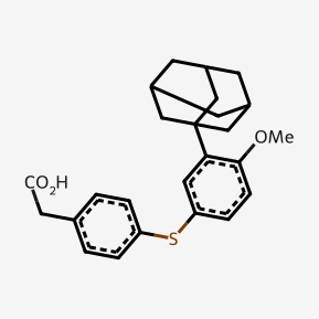 COc1ccc(Sc2ccc(CC(=O)O)cc2)cc1C12CC3CC(CC(C3)C1)C2